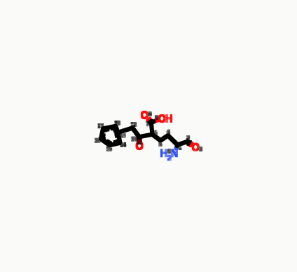 NC([C]=O)CCC(C(=O)O)C(=O)Cc1ccccc1